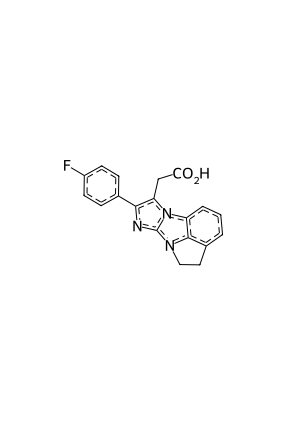 O=C(O)Cc1c(-c2ccc(F)cc2)nc2n3c4c(cccc4n12)CC3